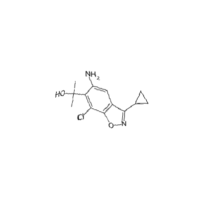 CC(C)(O)c1c(N)cc2c(C3CC3)noc2c1Cl